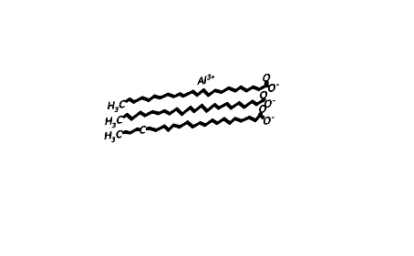 CCCCCCCCCCCCCCCCCCCCCCCC(=O)[O-].CCCCCCCCCCCCCCCCCCCCCCCC(=O)[O-].CCCCCCCCCCCCCCCCCCCCCCCC(=O)[O-].[Al+3]